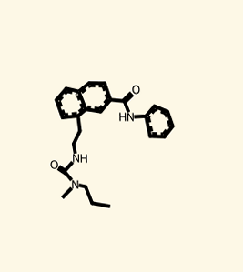 CCCN(C)C(=O)NCCc1cccc2ccc(C(=O)Nc3ccccc3)cc12